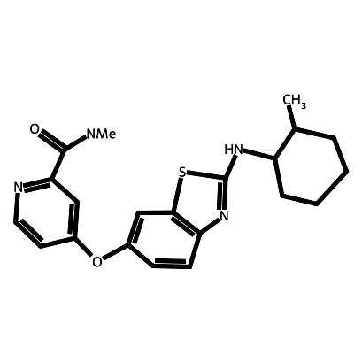 CNC(=O)c1cc(Oc2ccc3nc(NC4CCCCC4C)sc3c2)ccn1